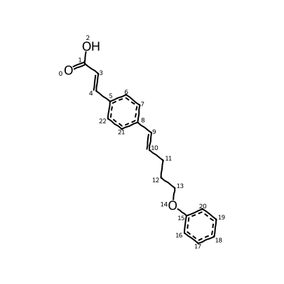 O=C(O)C=Cc1ccc(C=CCCCOc2ccccc2)cc1